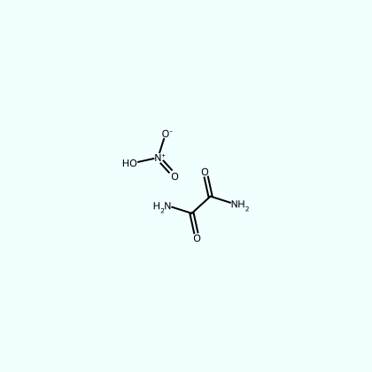 NC(=O)C(N)=O.O=[N+]([O-])O